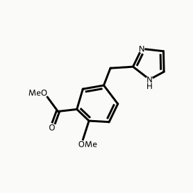 COC(=O)c1cc(Cc2ncc[nH]2)ccc1OC